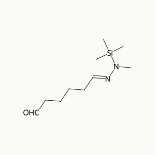 CN(N=CCCCCC=O)[Si](C)(C)C